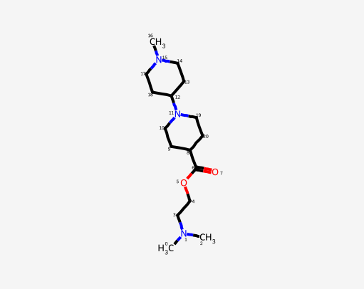 CN(C)CCOC(=O)C1CCN(C2CCN(C)CC2)CC1